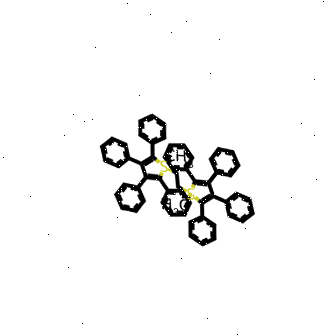 CS1(CCS2(C)C(c3ccccc3)=C(c3ccccc3)C(c3ccccc3)=C2c2ccccc2)C(c2ccccc2)=C(c2ccccc2)C(c2ccccc2)=C1c1ccccc1